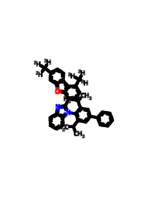 [2H]C([2H])([2H])c1ccc2c(c1)oc1c(-c3nc4ccccc4n3-c3c(C(C)C)cc(-c4ccccc4)cc3C(C)C)ccc(C([2H])([2H])[2H])c12